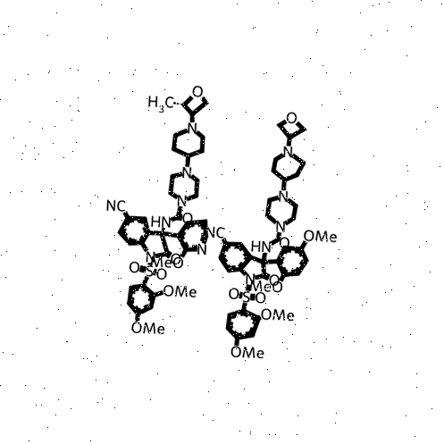 COc1ccc(S(=O)(=O)N2C(=O)C(NC(=O)N3CCN(C4CCN(C5COC5)CC4)CC3)(c3cc(OC)ccc3OC)c3cc(C#N)ccc32)c(OC)c1.COc1ccc(S(=O)(=O)N2C(=O)[C@@](NC(=O)N3CCN(C4CCN(C5CO[C@H]5C)CC4)CC3)(c3cccnc3OC)c3cc(C#N)ccc32)c(OC)c1